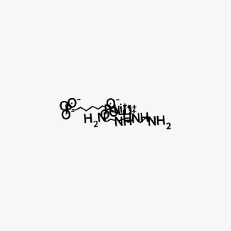 NCCNCCNCCN.O=P([O-])([O-])CCCCCCP(=O)([O-])[O-].[Li+].[Li+].[Li+].[Li+]